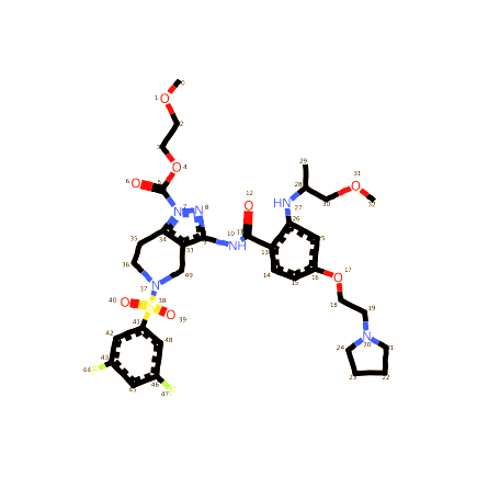 COCCOC(=O)n1nc(NC(=O)c2ccc(OCCN3CCCC3)cc2NC(C)COC)c2c1CCN(S(=O)(=O)c1cc(F)cc(F)c1)C2